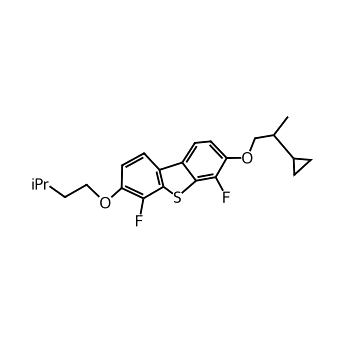 CC(C)CCOc1ccc2c(sc3c(F)c(OCC(C)C4CC4)ccc32)c1F